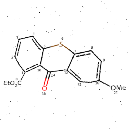 CCOC(=O)c1cccc2sc3ccc(OC)cc3c(=O)c12